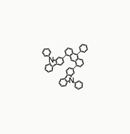 c1ccc(-c2c3cccc(-c4ccc5c6ccccc6n(-c6ccccc6)c5c4)c3cc3c(-c4ccc5c6ccccc6n(-c6ccccc6)c5c4)cccc23)cc1